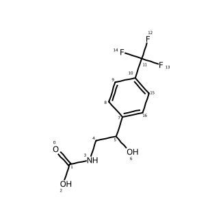 O=C(O)NCC(O)c1ccc(C(F)(F)F)cc1